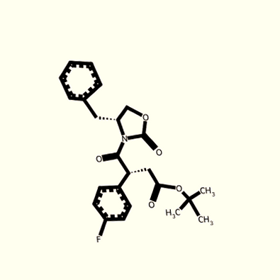 CC(C)(C)OC(=O)C[C@@H](C(=O)N1C(=O)OC[C@H]1Cc1ccccc1)c1ccc(F)cc1